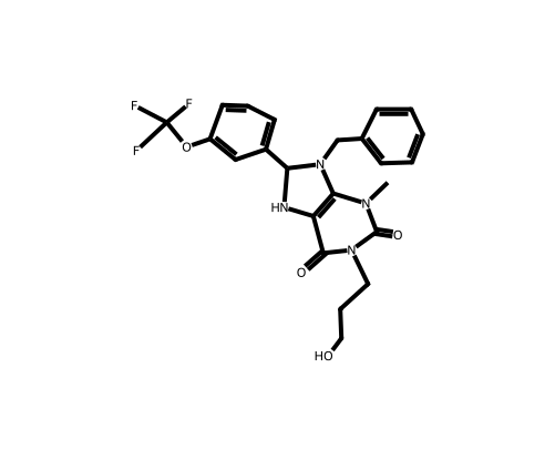 Cn1c2c(c(=O)n(CCCO)c1=O)NC(c1cccc(OC(F)(F)F)c1)N2Cc1ccccc1